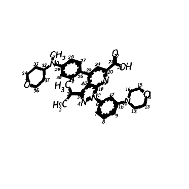 CC(C)c1nn(-c2cccc(N3CCOCC3)c2)c2nc(C(=O)O)cc(-c3ccc(N(C)C4CCOCC4)cc3)c12